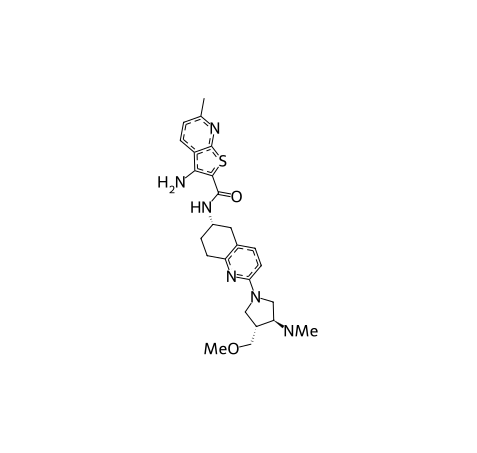 CN[C@@H]1CN(c2ccc3c(n2)CC[C@H](NC(=O)c2sc4nc(C)ccc4c2N)C3)C[C@H]1COC